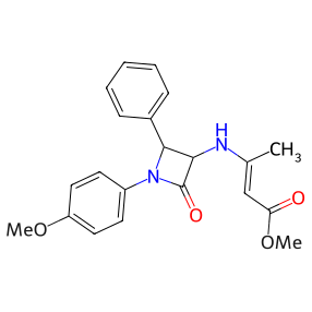 COC(=O)C=C(C)NC1C(=O)N(c2ccc(OC)cc2)C1c1ccccc1